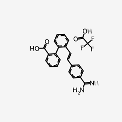 N=C(N)c1ccc(/C=C/c2ccccc2-c2ccccc2C(=O)O)cc1.O=C(O)C(F)(F)F